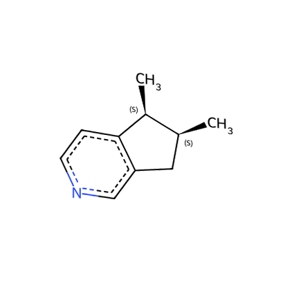 C[C@@H]1c2ccncc2C[C@@H]1C